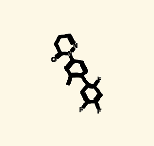 Cc1cc(N2N=CCCC2=O)ccc1-c1cc(F)c(F)cc1F